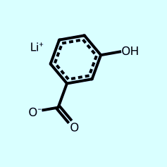 O=C([O-])c1cccc(O)c1.[Li+]